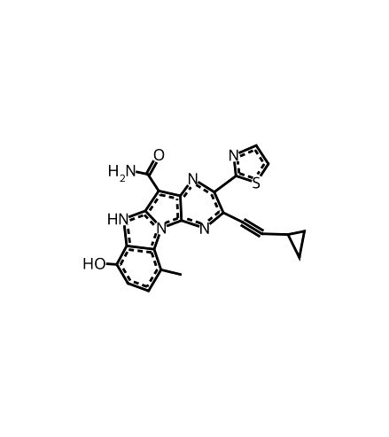 Cc1ccc(O)c2[nH]c3c(C(N)=O)c4nc(-c5nccs5)c(C#CC5CC5)nc4n3c12